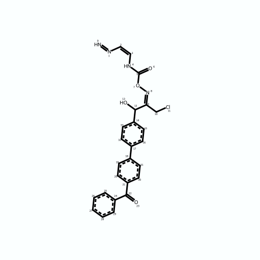 N=N/C=C\NC(=O)O/N=C(/CCl)C(O)c1ccc(-c2ccc(C(=O)c3ccccc3)cc2)cc1